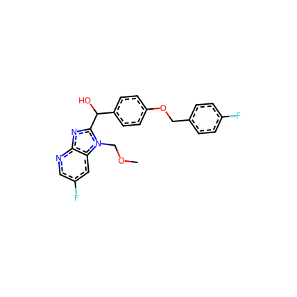 COCn1c(C(O)c2ccc(OCc3ccc(F)cc3)cc2)nc2ncc(F)cc21